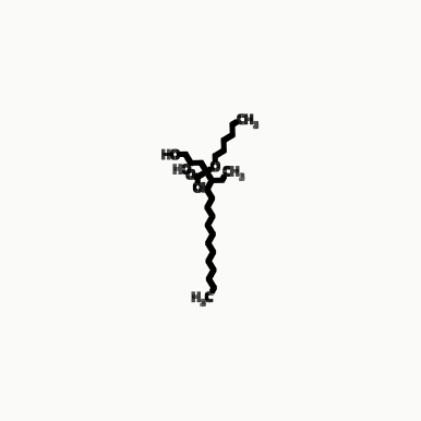 CCCCCCCCCCCCCC(CC)C(CC(O)CO)(OCCCCCC)C(=O)O